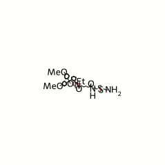 CC[C@@H]1C[C@@H](OC(c2ccccc2)(c2ccc(OC)cc2)c2ccc(OC)cc2)CN1C(=O)CCCCC(=O)NCCSSCCN